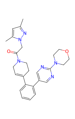 Cc1cc(C)n(CC(=O)N2CC=C(c3ccccc3-c3cnc(N4CCOCC4)nc3)CC2)n1